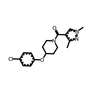 Cc1nn(C)cc1C(=O)N1CCC(Oc2ccc(Cl)cc2)CC1